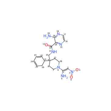 N/C(=C\[N+](=O)[O-])N1CCC(CNC(=O)c2nccnc2N)(C2C=CC=CC2)CC1